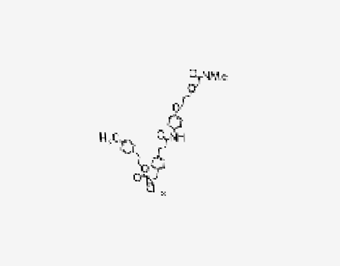 CNC(=O)COCCCOc1ccc(NC(=O)CCc2ccc(CN(C)C(=O)OCCc3ccc(C)cc3)cc2)cc1